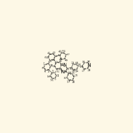 c1ccc(-c2ccccc2-c2cc3nc(-c4ccccc4)c(-c4ccc(-c5ccncc5)cc4)nc3cc2-c2ccccc2-c2ccccc2)cc1